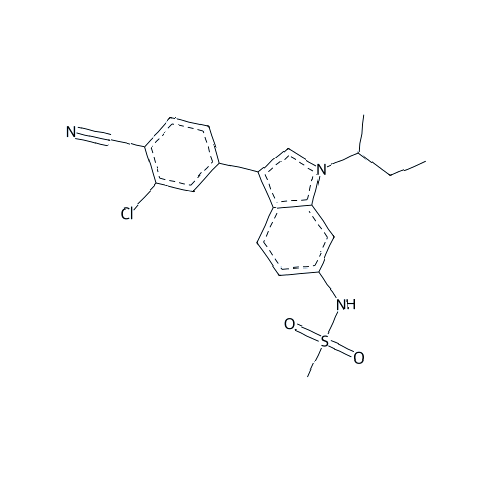 CCC(C)n1cc(-c2ccc(C#N)c(Cl)c2)c2ccc(NS(C)(=O)=O)cc21